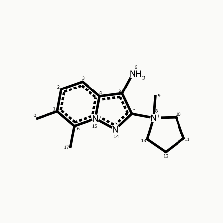 Cc1ccc2c(N)c([N+]3(C)CCCC3)nn2c1C